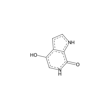 O=c1[nH]cc(O)c2cc[nH]c12